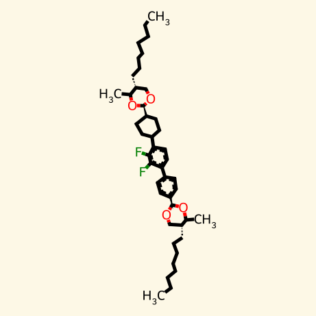 CCCCCCCC[C@@H]1CO[C@@H](c2ccc(-c3ccc(C4CCC([C@@H]5OC[C@@H](CCCCCCCC)C(C)O5)CC4)c(F)c3F)cc2)OC1C